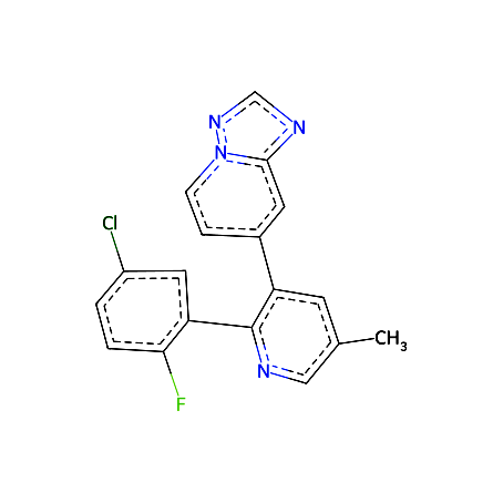 Cc1cnc(-c2cc(Cl)ccc2F)c(-c2ccn3ncnc3c2)c1